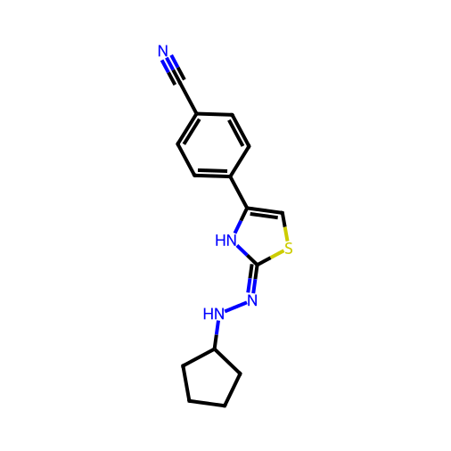 N#Cc1ccc(-c2csc(=NNC3CCCC3)[nH]2)cc1